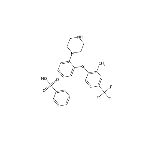 Cc1cc(C(F)(F)F)ccc1Sc1ccccc1N1CCNCC1.O=S(=O)(O)c1ccccc1